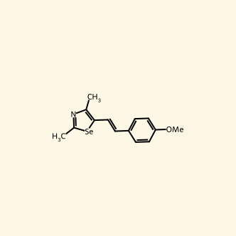 COc1ccc(C=Cc2[se]c(C)nc2C)cc1